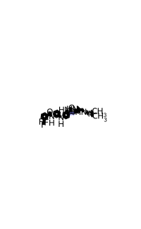 CCN(CC)CCNCc1c[nH]c(/C=C2\C(=O)Nc3cc(Nc4cccc(NC(=O)c5cccc(C(F)(F)F)c5)c4)ccc32)c1